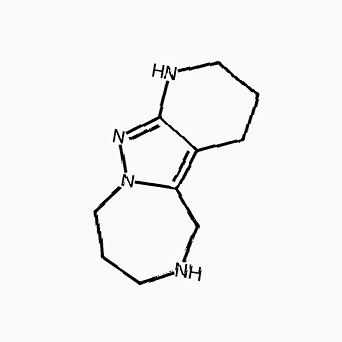 C1CNc2nn3c(c2C1)CNCCC3